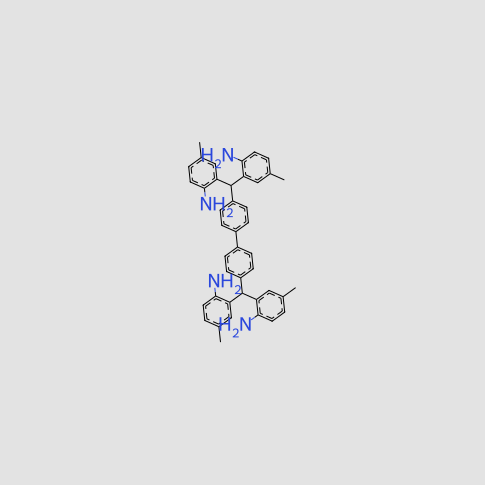 Cc1ccc(N)c(C(c2ccc(-c3ccc(C(c4cc(C)ccc4N)c4cc(C)ccc4N)cc3)cc2)c2cc(C)ccc2N)c1